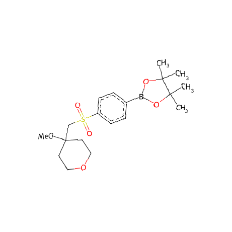 COC1(CS(=O)(=O)c2ccc(B3OC(C)(C)C(C)(C)O3)cc2)CCOCC1